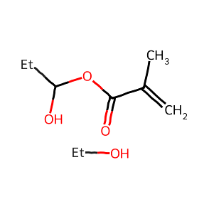 C=C(C)C(=O)OC(O)CC.CCO